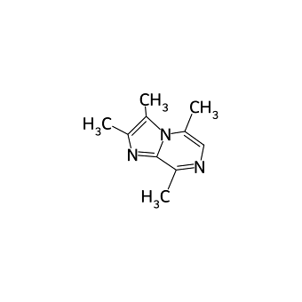 Cc1nc2c(C)ncc(C)n2c1C